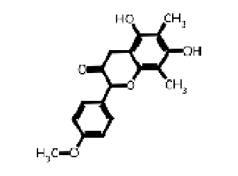 COc1ccc(C2Oc3c(C)c(O)c(C)c(O)c3CC2=O)cc1